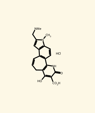 CNCc1cc2c3c(ccc2n1C)-c1[nH]c(=O)c(C(=O)O)c(O)c1CC=C3.Cl